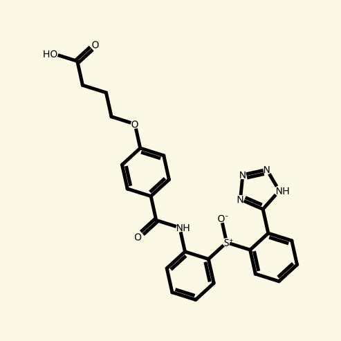 O=C(O)CCCOc1ccc(C(=O)Nc2ccccc2[S+]([O-])c2ccccc2-c2nnn[nH]2)cc1